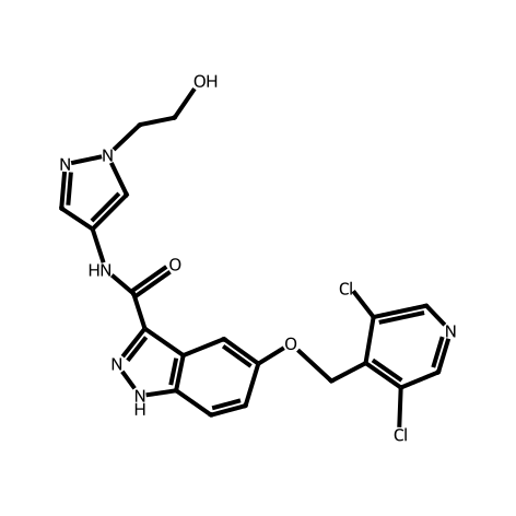 O=C(Nc1cnn(CCO)c1)c1n[nH]c2ccc(OCc3c(Cl)cncc3Cl)cc12